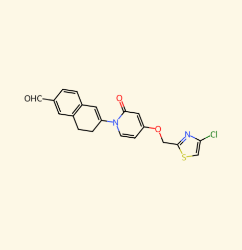 O=Cc1ccc2c(c1)CCC(n1ccc(OCc3nc(Cl)cs3)cc1=O)=C2